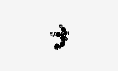 O=C(Nc1ccc(Cl)cc1)OC(c1ccc(C(F)(F)F)cc1)C1CCN(Cc2ccc(Oc3ccccn3)cc2)C(=O)C1